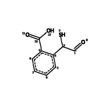 O=[C]C(S)c1ccccc1C(=O)O